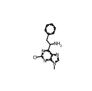 Cn1cnc2c(C(N)Cc3ccccc3)nc(Cl)nc21